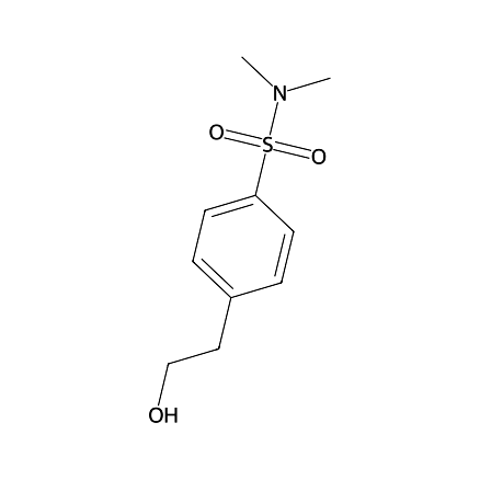 CN(C)S(=O)(=O)c1ccc(CCO)cc1